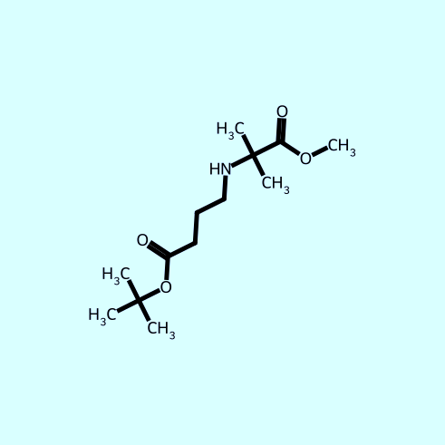 COC(=O)C(C)(C)NCCCC(=O)OC(C)(C)C